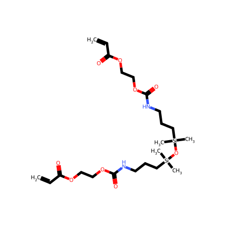 C=CC(=O)OCCOC(=O)NCCC[Si](C)(C)O[Si](C)(C)CCCNC(=O)OCCOC(=O)C=C